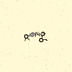 C=Cc1ccccc1-c1cccc[n+]1C/N=C/C=C\Nc1cccc(C)c1C